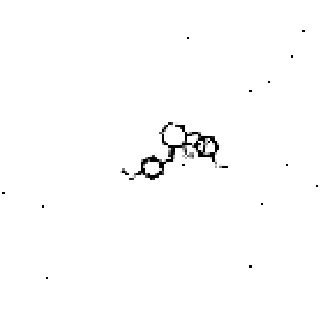 COc1ccc(/C=C2\CCCCC(CN(C)C)C2(O)c2cccc(OC)c2)cc1